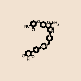 N#Cc1ccc(OC2CCC(c3cc(N4CCC(CN5CCN(c6ccc(C7CCC(=O)NC7=O)cc6)CC5)CC4)nnc3C(N)=O)CC2)cc1Cl